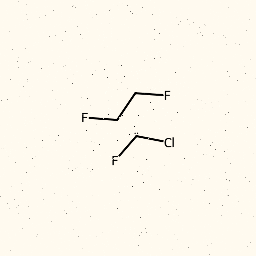 FCCF.F[C]Cl